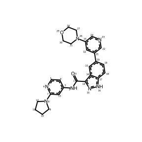 O=C(Nc1ccnc(N2CCCC2)c1)c1n[nH]c2ccc(-c3cncc(N4CCOCC4)c3)cc12